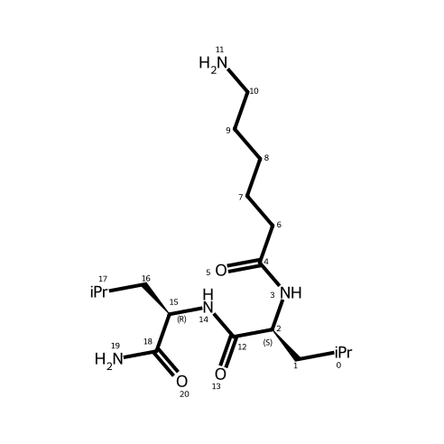 CC(C)C[C@H](NC(=O)CCCCCN)C(=O)N[C@H](CC(C)C)C(N)=O